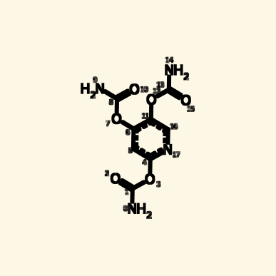 NC(=O)Oc1cc(OC(N)=O)c(OC(N)=O)cn1